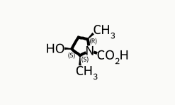 C[C@@H]1C[C@H](O)[C@H](C)N1C(=O)O